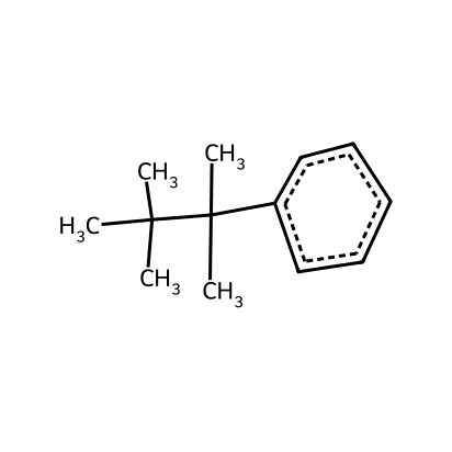 CC(C)(C)C(C)(C)c1ccccc1